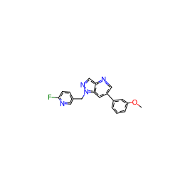 COc1cccc(-c2cnc3cnn(Cc4ccc(F)nc4)c3c2)c1